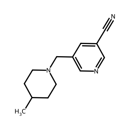 CC1CCN(Cc2cncc(C#N)c2)CC1